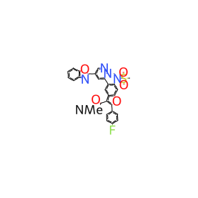 CNC(=O)c1c(-c2ccc(F)cc2)oc2cc(N(C)S(C)(=O)=O)c(-c3cc(-c4nc5ccccc5o4)cnn3)cc12